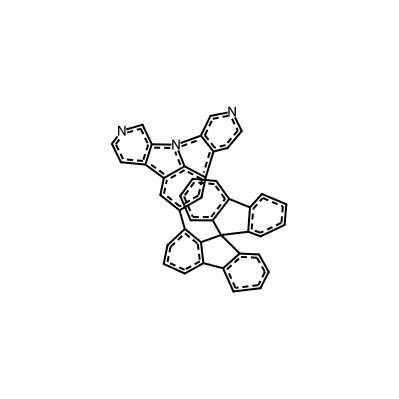 c1ccc2c(c1)-c1ccccc1C21c2ccccc2-c2cccc(-c3cc4c5ccncc5n5c6cnccc6c(c3)c45)c21